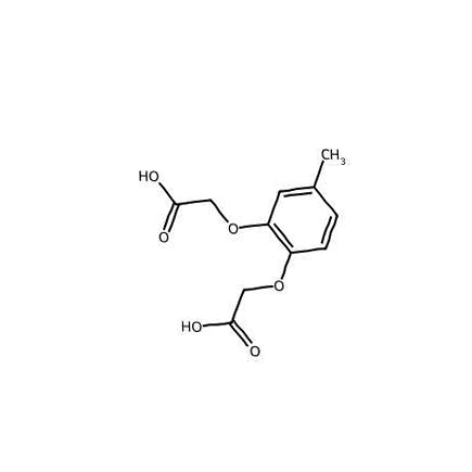 Cc1ccc(OCC(=O)O)c(OCC(=O)O)c1